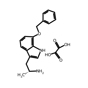 C[C@@H](N)Cc1c[nH]c2c(OCc3ccccc3)cccc12.O=C(O)C(=O)O